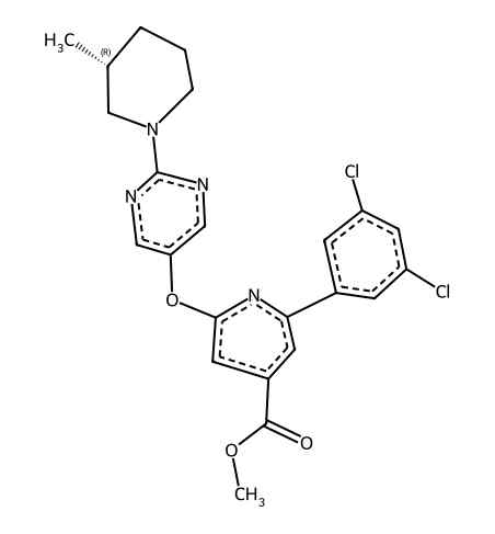 COC(=O)c1cc(Oc2cnc(N3CCC[C@@H](C)C3)nc2)nc(-c2cc(Cl)cc(Cl)c2)c1